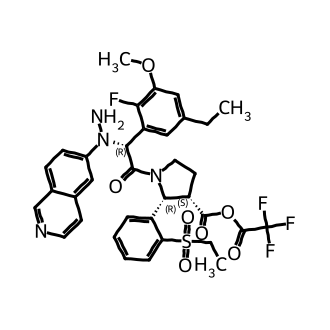 CCc1cc(OC)c(F)c([C@H](C(=O)N2CC[C@H](C(=O)OC(=O)C(F)(F)F)[C@@H]2c2ccccc2S(=O)(=O)CC)N(N)c2ccc3cnccc3c2)c1